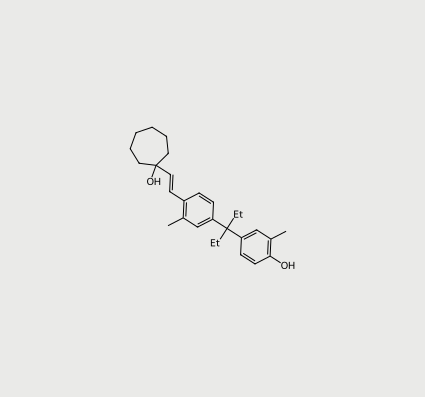 CCC(CC)(c1ccc(O)c(C)c1)c1ccc(C=CC2(O)CCCCCC2)c(C)c1